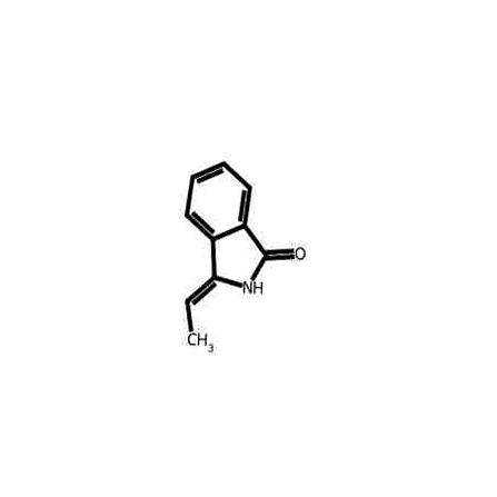 CC=C1NC(=O)c2ccccc21